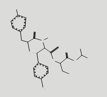 CNC(Cc1ccc(O)cc1)C(=O)N(C)C(Cc1ccc(O)cc1)C(=O)NC(CC(C)C)C(=O)NC(C)C(=O)O